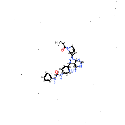 C=CC(=O)N1CC2CC1C(n1nc(-c3ccc(NC(=O)Nc4ccccc4)cc3)c3c(N)ncnc31)C2